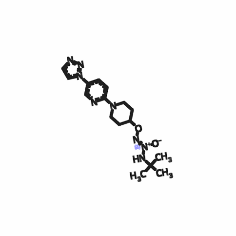 CC(C)(C)N/[N+]([O-])=N/OC1CCN(c2ccc(-n3ccnn3)cn2)CC1